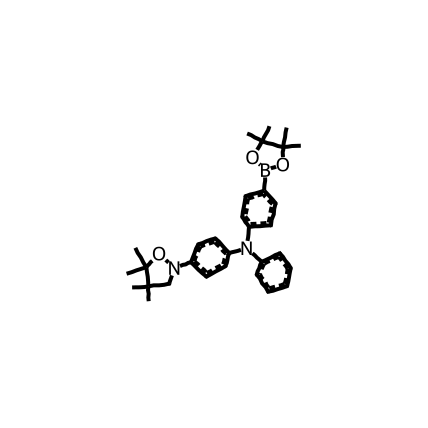 CC1(C)CN(c2ccc(N(c3ccccc3)c3ccc(B4OC(C)(C)C(C)(C)O4)cc3)cc2)OC1(C)C